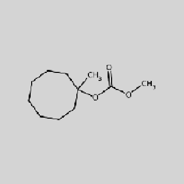 COC(=O)OC1(C)CCCCCCC1